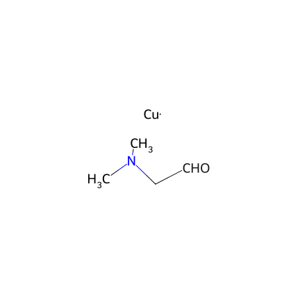 CN(C)CC=O.[Cu]